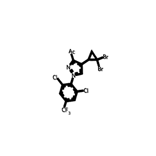 CC(=O)c1nn(-c2c(Cl)cc(C(F)(F)F)cc2Cl)cc1C1CC1(Br)Br